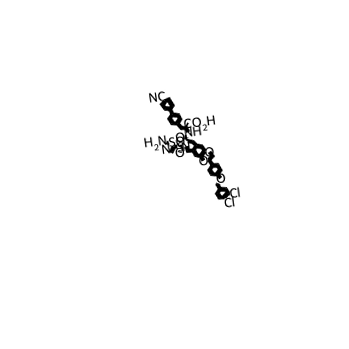 N#Cc1ccc(-c2ccc(C[C@H](NC(=O)[C@@H]3Cc4cc5c(cc4CN3S(=O)(=O)c3cnc(N)s3)OC(c3ccc(OCc4ccc(Cl)c(Cl)c4)cc3)CO5)C(=O)O)cc2)cc1